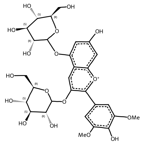 COc1cc(-c2[o+]c3cc(O)cc(OC4O[C@H](CO)[C@@H](O)[C@H](O)[C@H]4O)c3cc2OC2O[C@H](CO)[C@@H](O)[C@H](O)[C@H]2O)cc(OC)c1O